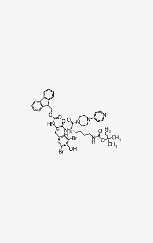 CC(C)(C)OC(=O)NCCCC[C@H](NC(=O)[C@@H](Cc1cc(Br)c(O)c(Br)c1)NC(=O)OCC1c2ccccc2-c2ccccc21)C(=O)N1CCN(c2ccncc2)CC1